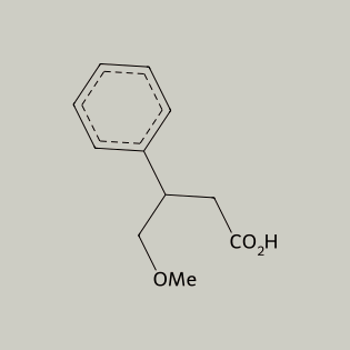 COCC(CC(=O)O)c1ccccc1